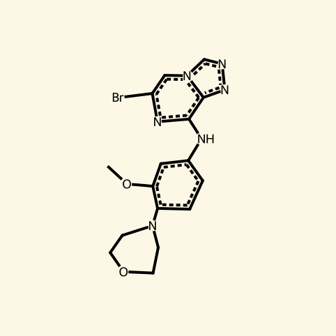 COc1cc(Nc2nc(Br)cn3cnnc23)ccc1N1CCOCC1